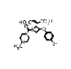 CN1CCN(C(=O)N2CC(Oc3ccc(Br)cc3)C2)CC1.O=C(O)/C=C/C(=O)O